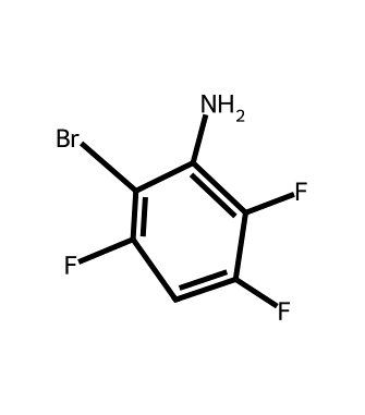 Nc1c(F)c(F)cc(F)c1Br